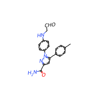 Cc1ccc(-c2cc(C(N)=O)nn2-c2ccc(NCC=O)cc2)cc1